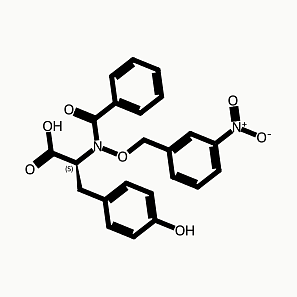 O=C(O)[C@H](Cc1ccc(O)cc1)N(OCc1cccc([N+](=O)[O-])c1)C(=O)c1ccccc1